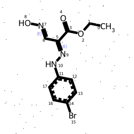 CCOC(=O)C(/C=N/O)=N/Nc1ccc(Br)cc1